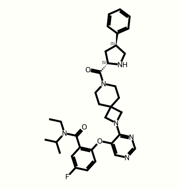 CCN(C(=O)c1cc(F)ccc1Oc1cncnc1N1CC2(CCN(C(=O)[C@@H]3C[C@@H](c4ccccc4)CN3)CC2)C1)C(C)C